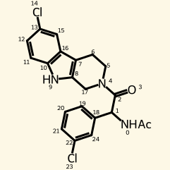 CC(=O)NC(C(=O)N1CCc2c([nH]c3ccc(Cl)cc23)C1)c1cccc(Cl)c1